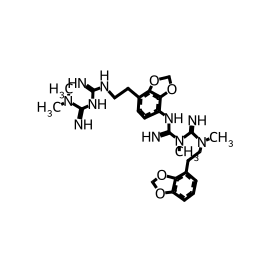 CN(C)C(=N)NC(=N)NCCc1ccc(NC(=N)N(C)C(=N)N(C)CCc2cccc3c2OCO3)c2c1OCO2